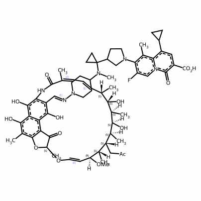 CO[C@H]1/C=C/O[C@@]2(C)Oc3c(C)c(O)c4c(O)c(c(/C=N/N5CCC(N(C)C6(C7CCN(c8c(F)cn9c(=O)c(C(=O)O)cc(C%10CC%10)c9c8C)C7)CC6)CC5)c(O)c4c3C2=O)NC(=O)/C(C)=C\C=C\[C@H](C)[C@H](O)[C@@H](C)[C@@H](O)[C@@H](C)[C@H](CC(C)=O)[C@@H]1C